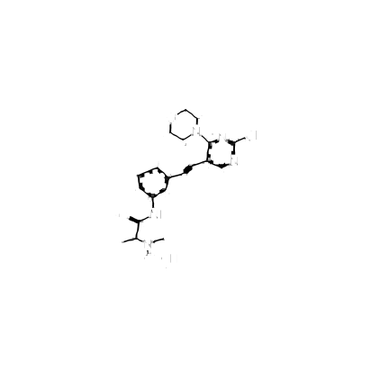 CC(C(=O)Nc1cccc(C#Cc2cnc(Cl)nc2N2CCOCC2)c1)N(C)C(=O)O